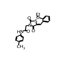 CCOc1ccccc1/C=C1\SC(=O)N(CC(=O)Nc2ccc(C)cc2)C1=O